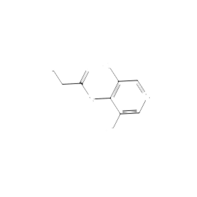 O=C(CCl)Nc1c(Cl)cncc1Cl